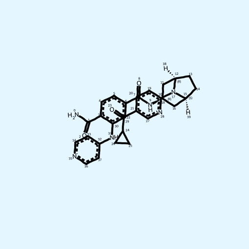 NC(=O)c1ccc(C(=O)N[C@H]2C[C@H]3CC[C@@H](C2)N3c2ccc(C(=O)C3CC3)cn2)cc1Nc1ccncc1